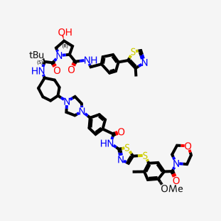 COc1cc(C)c(Sc2cnc(NC(=O)c3ccc(N4CCN(C5CCCC(N[C@H](C(=O)N6C[C@H](O)CC6C(=O)NCc6ccc(-c7scnc7C)cc6)C(C)(C)C)CC5)CC4)cc3)s2)cc1C(=O)N1CCOCC1